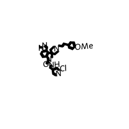 COc1ccc(C=CCN2CCC3(CC2)CN(C(=O)NCc2ccnc(Cl)c2)c2ccc4c(cnn4C)c23)cc1